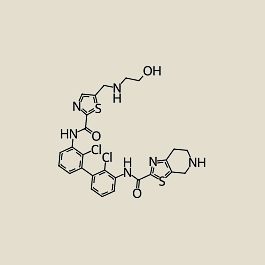 O=C(Nc1cccc(-c2cccc(NC(=O)c3nc4c(s3)CNCC4)c2Cl)c1Cl)c1ncc(CNCCO)s1